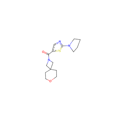 O=C(c1cnc(N2CCCC2)s1)N1CC2(CCOCC2)C1